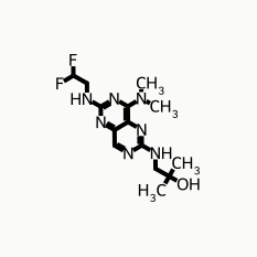 CN(C)c1nc(NCC(F)F)nc2cnc(NCC(C)(C)O)nc12